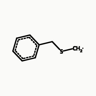 [CH2]SCc1ccccc1